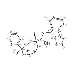 C[C@@]1(C(O)CC2c3c(F)cccc3-c3cncn32)CC2CCC(O)(c3ccccc3)C(C2)C1